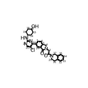 O=C(CN1Cc2ccc(-c3nc(N[C@H]4CC[C@H](O)CC4)ncc3Cl)cc2C1=O)N1CCc2ccccc2C1